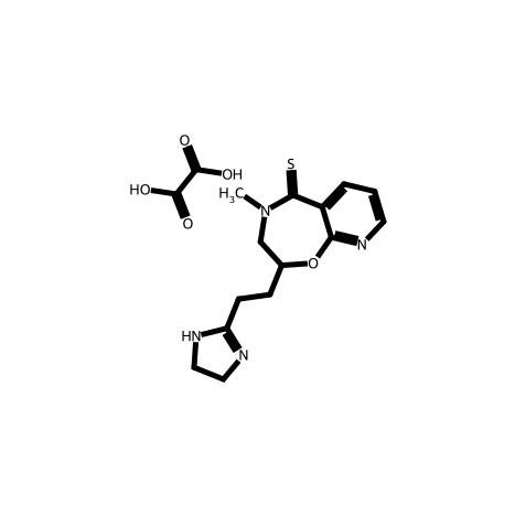 CN1CC(CCC2=NCCN2)Oc2ncccc2C1=S.O=C(O)C(=O)O